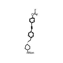 CCCCCCCCC[C@H]1CC[C@H](CCc2ccc(C#Cc3ccc(OC(F)F)cc3)cc2)CC1